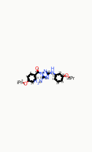 CC(C)Oc1ccc(C(=O)n2nc(Nc3cccc(OC(C)C)c3)nc2N)cc1